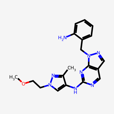 COCCn1cc(Nc2ncc3cnn(Cc4ccccc4N)c3n2)c(C)n1